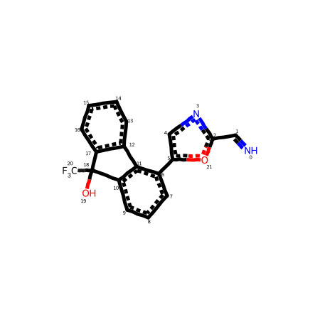 N=Cc1ncc(-c2cccc3c2-c2ccccc2C3(O)C(F)(F)F)o1